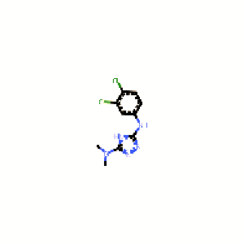 CN(C)c1nnc(Nc2ccc(Cl)c(Cl)c2)[nH]1